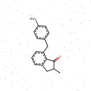 CSc1ccc(Cc2cccc3c2C(=O)C(C)C3)cc1